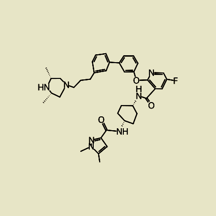 Cc1cc(C(=O)N[C@H]2CC[C@@H](NC(=O)c3cc(F)cnc3Oc3cccc(-c4cccc(CCCN5C[C@@H](C)N[C@@H](C)C5)c4)c3)CC2)nn1C